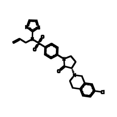 C=CCN(c1nccs1)S(=O)(=O)c1ccc(N2CC[C@H](N3CCc4ccc(Cl)cc4C3)C2=O)cc1